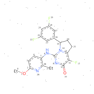 CCOc1ccc(Nc2nc(=O)c(F)c3n2C(c2cc(F)cc(F)c2)CC3)c(CC)n1